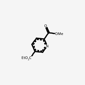 CCOC(=O)c1ccc(C(=O)OC)nc1